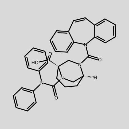 O=C(N1c2ccccc2C=Cc2ccccc21)N1C[C@]2(C(=O)O)CCC[C@H]1CN2C(=O)N(c1ccccc1)c1ccccc1